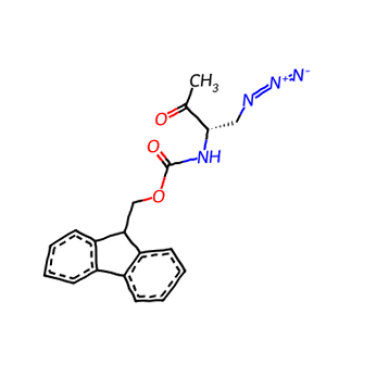 CC(=O)[C@H](CN=[N+]=[N-])NC(=O)OCC1c2ccccc2-c2ccccc21